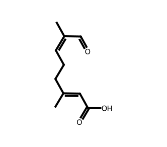 CC(C=O)=CCCC(C)=CC(=O)O